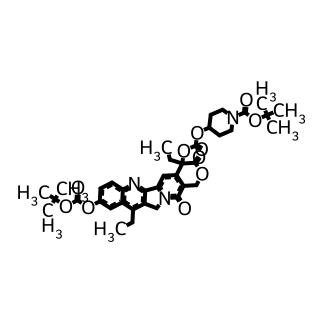 CCc1c2c(nc3ccc(OC(=O)OC(C)(C)C)cc13)-c1cc3c(c(=O)n1C2)COC(=O)C3(CC)OC(=O)OC1CCN(C(=O)OC(C)(C)C)CC1